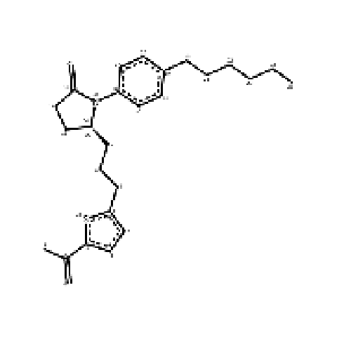 C=C(C)c1ccc(CCC[C@H]2CCC(=C)N2c2ccc(CCCCCC)cc2)s1